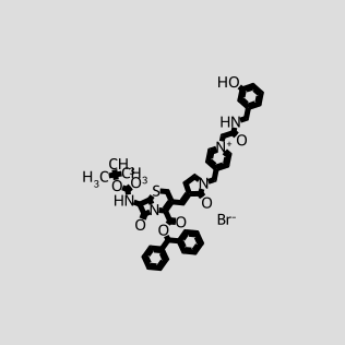 CC(C)(C)OC(=O)NC1C(=O)N2C(C(=O)OC(c3ccccc3)c3ccccc3)=C(C=C3CCN(Cc4cc[n+](CC(=O)NCc5cccc(O)c5)cc4)C3=O)CSC12.[Br-]